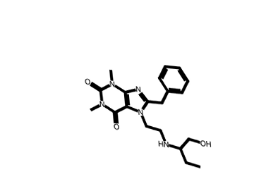 CCC(CO)NCCn1c(Cc2ccccc2)nc2c1c(=O)n(C)c(=O)n2C